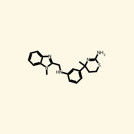 Cn1c(CNc2cccc(C3(C)CCSC(N)=N3)c2)nc2ccccc21